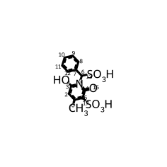 Cc1cc(O)n(C(c2ccccc2)S(=O)(=O)O)c(=O)c1S(=O)(=O)O